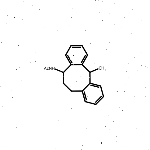 CC(=O)NC1CCc2ccccc2C(C)c2ccccc21